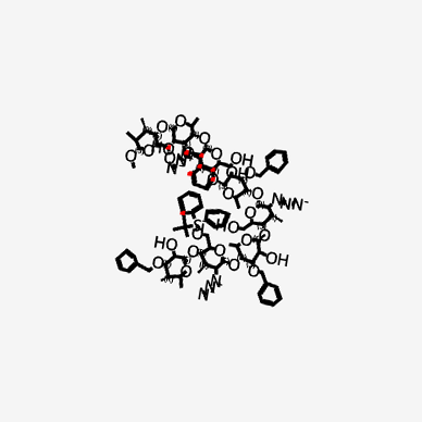 CO[C@H]1OC(CO)[C@@H](O[C@@H]2OC(C)[C@@H](O[C@H]3OC(CO)[C@H](O[C@@H]4OC(C)[C@@H](O[C@H]5OC(CO)[C@@H](O[C@@H]6OC(C)[C@@H](O[C@@H]7OC(CO[Si](c8ccccc8)(c8ccccc8)C(C)(C)C)[C@H](O[C@@H]8OC(C)[C@@H](C)[C@@H](OCc9ccccc9)C8O)[C@H](C)C7N=[N+]=[N-])[C@@H](OCc7ccccc7)C6O)[C@H](C)C5N=[N+]=[N-])[C@@H](OCc5ccccc5)C4O)[C@H](C)C3N=[N+]=[N-])[C@@H](OCc3ccccc3)C2O)[C@H](C)C1C